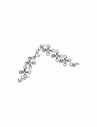 [Co+2].[Co+2].[Li+].[Li+].[Li+].[Ni+2].[Ni+2].[O]=[Co-][OH].[O]=[Mn](=[O])([O-])[O-].[O]=[Mn](=[O])([O-])[O-].[O]=[Mn](=[O])([O-])[O-].[O]=[Mn](=[O])([O-])[O-].[O]=[Mn](=[O])([O-])[O-]